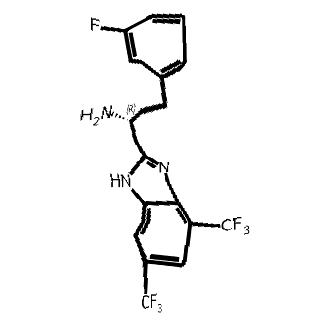 N[C@H](Cc1cccc(F)c1)c1nc2c(C(F)(F)F)cc(C(F)(F)F)cc2[nH]1